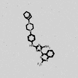 Nc1nc(Nc2ccc(N3CCN(C4CC5CCC4C5)CC3)cc2)nn1-c1nc(C(F)(F)F)nc2ccccc12